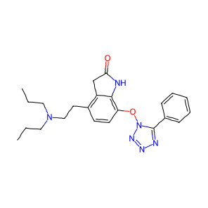 CCCN(CCC)CCc1ccc(On2nnnc2-c2ccccc2)c2c1CC(=O)N2